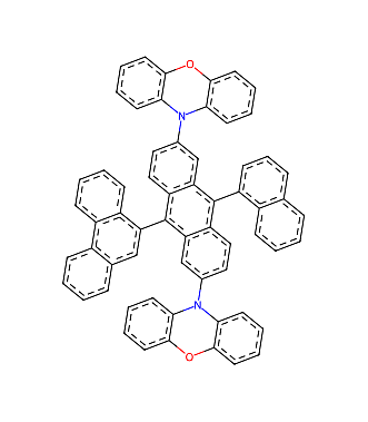 c1ccc2c(c1)Oc1ccccc1N2c1ccc2c(-c3cc4ccccc4c4ccccc34)c3cc(N4c5ccccc5Oc5ccccc54)ccc3c(-c3cccc4ccccc34)c2c1